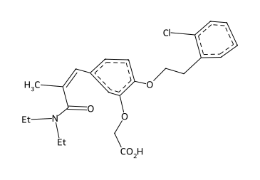 CCN(CC)C(=O)/C(C)=C\c1ccc(OCCc2ccccc2Cl)c(OCC(=O)O)c1